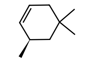 C[C@H]1C=CCC(C)(C)C1